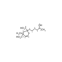 CC(O)CCCCC1(C(=O)O)CC=CC(C)(C(=O)O)C1